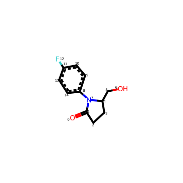 O=C1CCC(CO)N1c1ccc(F)cc1